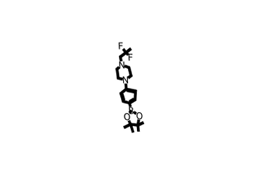 CC(F)(F)CN1CCN(c2ccc(B3OC(C)(C)C(C)(C)O3)cc2)CC1